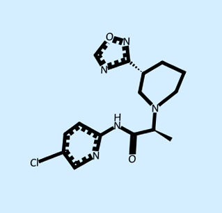 C[C@@H](C(=O)Nc1ccc(Cl)cn1)N1CCC[C@@H](c2ncon2)C1